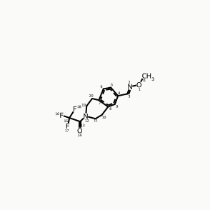 CO/N=C/c1ccc2c(c1)CCN(C(=O)C(F)(F)F)CC2